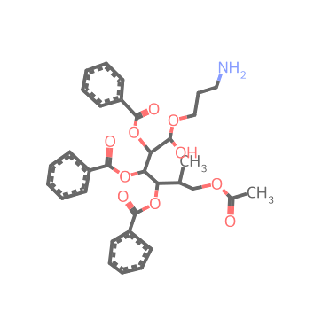 CC(=O)OCC(C)C(OC(=O)c1ccccc1)C(OC(=O)c1ccccc1)C(OC(=O)c1ccccc1)C(O)OCCCN